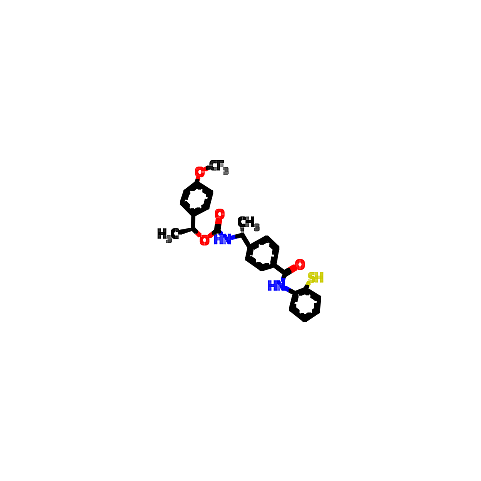 C[C@H](OC(=O)N[C@H](C)c1ccc(C(=O)Nc2ccccc2S)cc1)c1ccc(OC(F)(F)F)cc1